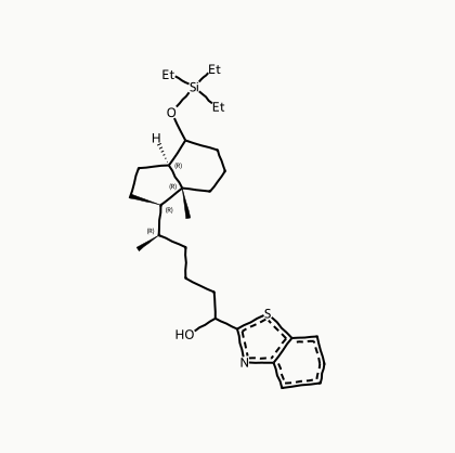 CC[Si](CC)(CC)OC1CCC[C@]2(C)[C@@H]([C@H](C)CCCC(O)c3nc4ccccc4s3)CC[C@@H]12